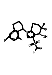 O=S(=O)(c1cn(C2CCCc3cc(F)cc(F)c32)c2c1[C@H](O)C(F)(F)CC2)C(F)F